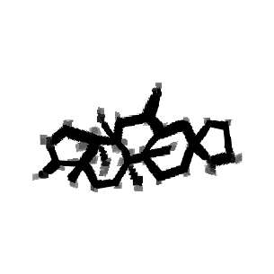 C[C@]12CCC3(C=C1C(=O)C[C@@H]1[C@@H]2CC[C@]2(C)C(=O)OC[C@@H]12)CCSS3